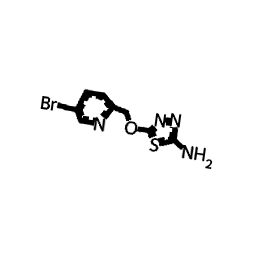 Nc1nnc(OCc2ccc(Br)cn2)s1